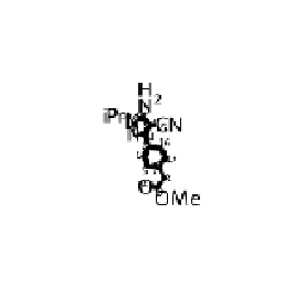 COC(=O)Cc1ccc(-c2nn(C(C)C)c(N)c2C#N)cc1